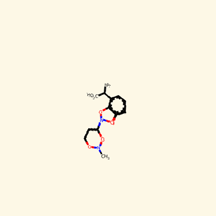 CCCC(C(=O)O)c1cccc2c1ON(C1CCON(C)O1)O2